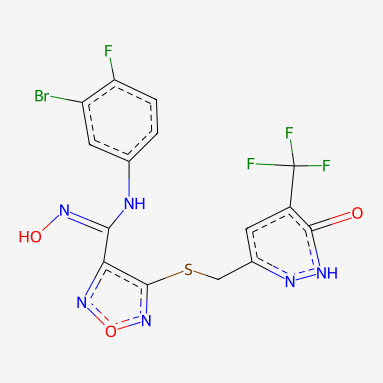 O=c1[nH]nc(CSc2nonc2/C(=N\O)Nc2ccc(F)c(Br)c2)cc1C(F)(F)F